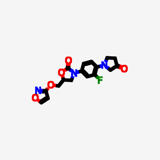 O=C1CCN(c2ccc(N3CC(COc4ccon4)OC3=O)cc2F)C1